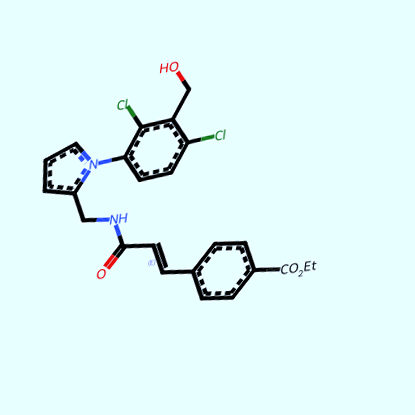 CCOC(=O)c1ccc(/C=C/C(=O)NCc2cccn2-c2ccc(Cl)c(CO)c2Cl)cc1